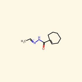 C/C=N/NC(=O)C1=CCCCCC1